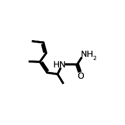 C/C=C\C(C)=C/C(C)NC(N)=O